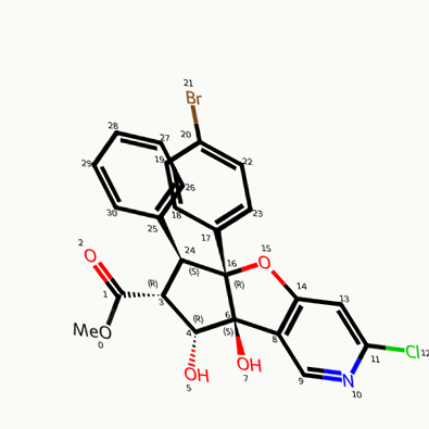 COC(=O)[C@H]1[C@@H](O)[C@@]2(O)c3cnc(Cl)cc3O[C@@]2(c2ccc(Br)cc2)[C@@H]1c1ccccc1